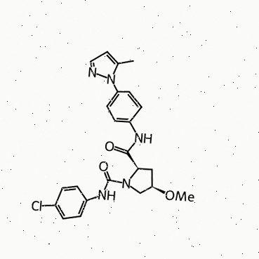 CO[C@@H]1C[C@H](C(=O)Nc2ccc(-n3nccc3C)cc2)N(C(=O)Nc2ccc(Cl)cc2)C1